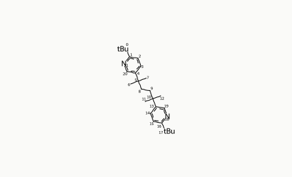 CC(C)(C)c1ccc(C(C)(C)CCC(C)(C)c2ccc(C(C)(C)C)nc2)cn1